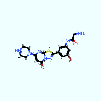 NCC(=O)Nc1cc(Br)cc(-c2nn3c(=O)cc(N4CCNCC4)nc3s2)c1